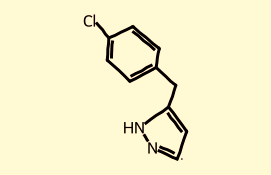 Clc1ccc(Cc2c[c]n[nH]2)cc1